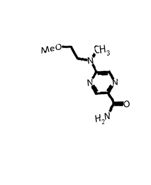 COCCN(C)c1cnc(C(N)=O)cn1